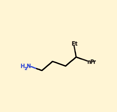 CCCC(CC)CCCN